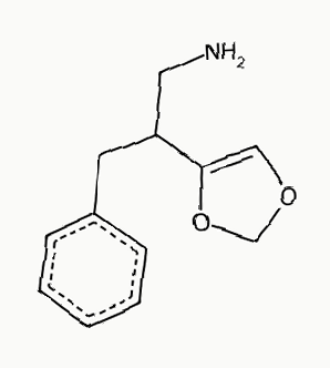 NCC(Cc1ccccc1)C1=COCO1